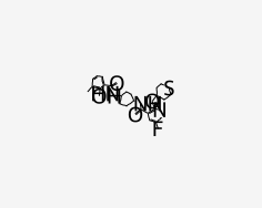 Cc1cccc(C(=O)NC2CCC(NC(=O)c3cc(F)cnc3OC3CCSCC3)CC2)c1O